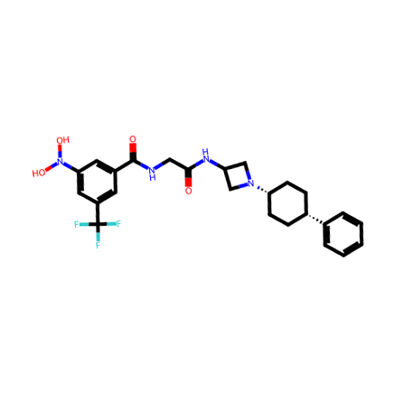 O=C(CNC(=O)c1cc(N(O)O)cc(C(F)(F)F)c1)NC1CN([C@H]2CC[C@@H](c3ccccc3)CC2)C1